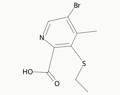 CCSc1c(C(=O)O)ncc(Br)c1C